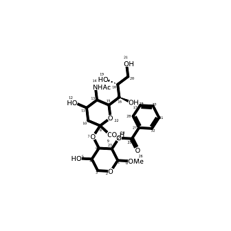 COC1OCC(O)C(OC2(C(=O)O)CC(O)C(NC(C)=O)C([C@H](O)[C@H](O)CO)O2)C1OC(=O)c1ccccc1